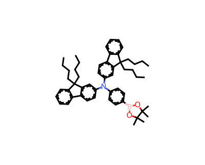 CCCCC1(CCCC)c2ccccc2-c2ccc(N(c3ccc(B4OC(C)(C)C(C)(C)O4)cc3)c3ccc4c(c3)C(CCCC)(CCCC)c3ccccc3-4)cc21